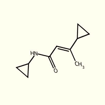 C/C(=C\C(=O)NC1CC1)C1CC1